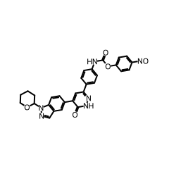 O=Nc1ccc(OC(=O)Nc2ccc(-c3cc(-c4ccc5c(cnn5C5CCCCO5)c4)c(=O)[nH]n3)cc2)cc1